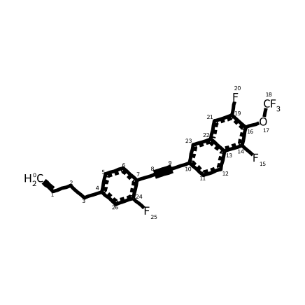 C=CCCc1ccc(C#Cc2ccc3c(F)c(OC(F)(F)F)c(F)cc3c2)c(F)c1